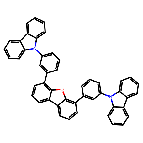 c1cc(-c2cccc3c2oc2c(-c4cccc(-n5c6ccccc6c6ccccc65)c4)cccc23)cc(-n2c3ccccc3c3ccccc32)c1